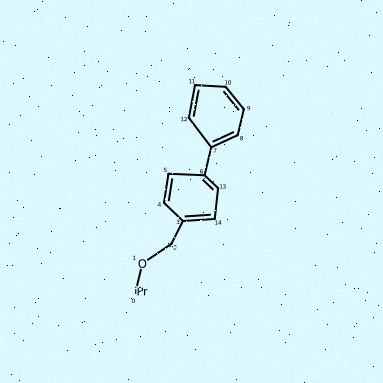 CC(C)O[C]c1ccc(-c2ccccc2)cc1